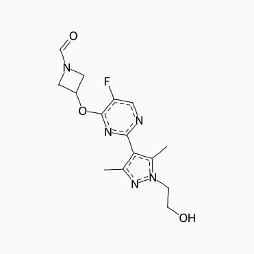 Cc1nn(CCO)c(C)c1-c1ncc(F)c(OC2CN(C=O)C2)n1